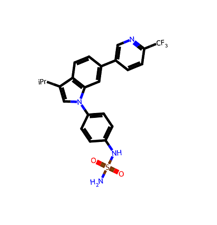 CC(C)c1cn(-c2ccc(NS(N)(=O)=O)cc2)c2cc(-c3ccc(C(F)(F)F)nc3)ccc12